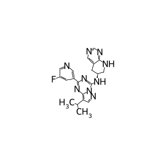 CC(C)c1cnn2c(N[C@@H]3CNc4ncncc4C3)nc(-c3cncc(F)c3)nc12